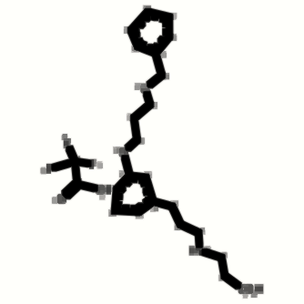 O=C(O)C(F)(F)F.O=C(O)CCNCCCc1cccc(OCCCOCc2ccccc2)c1